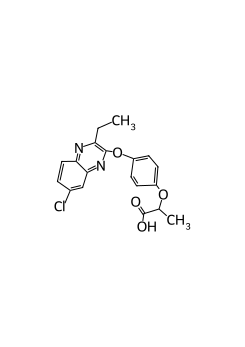 CCc1nc2ccc(Cl)cc2nc1Oc1ccc(OC(C)C(=O)O)cc1